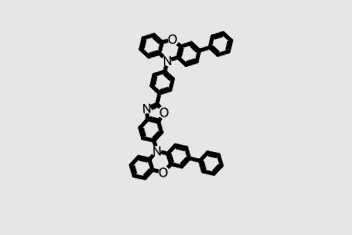 c1ccc(-c2ccc3c(c2)Oc2ccccc2N3c2ccc(-c3nc4ccc(N5c6ccccc6Oc6cc(-c7ccccc7)ccc65)cc4o3)cc2)cc1